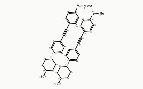 CCCCCOc1ccc(C#Cc2ccc([C@H]3CC[C@H](CCCC)CC3)cc2)nc1.CCCCOc1ccc(C#Cc2ccc([C@H]3CC[C@H](CCCC)CC3)cc2)nc1